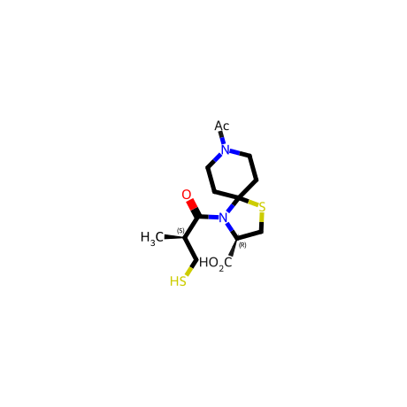 CC(=O)N1CCC2(CC1)SC[C@@H](C(=O)O)N2C(=O)[C@H](C)CS